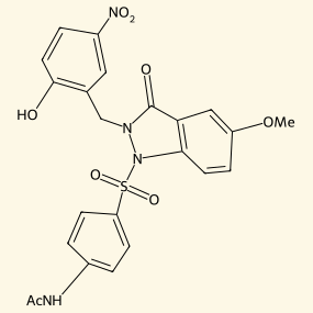 COc1ccc2c(c1)c(=O)n(Cc1cc([N+](=O)[O-])ccc1O)n2S(=O)(=O)c1ccc(NC(C)=O)cc1